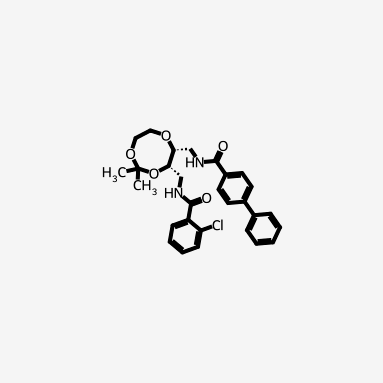 CC1(C)OCCO[C@H](CNC(=O)c2ccc(-c3ccccc3)cc2)[C@H](CNC(=O)c2ccccc2Cl)O1